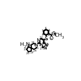 COC(=O)c1ccccc1Sc1cnc(N2CCC3(CCC[C@H]3N)CC2)n2cnnc12